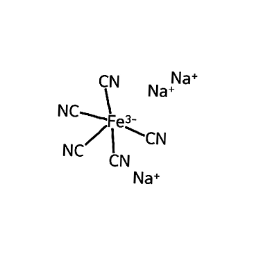 N#[C][Fe-3]([C]#N)([C]#N)([C]#N)[C]#N.[Na+].[Na+].[Na+]